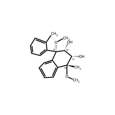 CO[C@@]1(c2ccccc2C)c2ccccc2[C@@](C)(OC)[C@@H](O)[C@H]1O